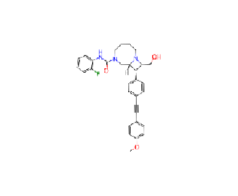 COc1ccc(C#Cc2ccc([C@@H]3[C@H](CO)N4CCCCN(C(=O)Nc5ccccc5F)C[C@@H]34)cc2)cc1